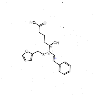 O=C(O)CCC[C@@H](O)[C@H](/C=C/c1ccccc1)SCc1ccco1